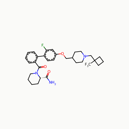 NC(=O)[C@@H]1CCCCN1C(=O)c1ccccc1-c1ccc(OCC2CCN(CC3(C(F)(F)F)CCC3)CC2)cc1F